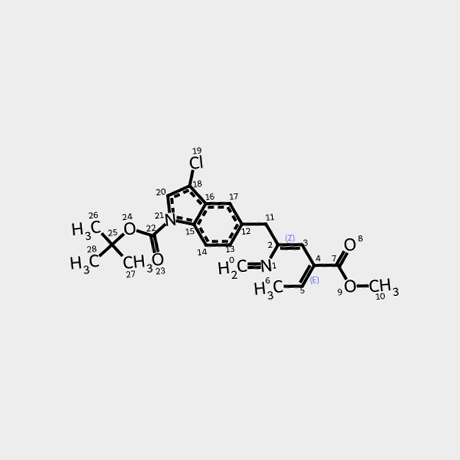 C=N/C(=C\C(=C/C)C(=O)OC)Cc1ccc2c(c1)c(Cl)cn2C(=O)OC(C)(C)C